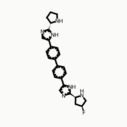 F[C@@H]1CN[C@H](c2ncc(-c3ccc(-c4ccc(-c5cnc([C@@H]6CCCN6)[nH]5)cc4)cc3)[nH]2)C1